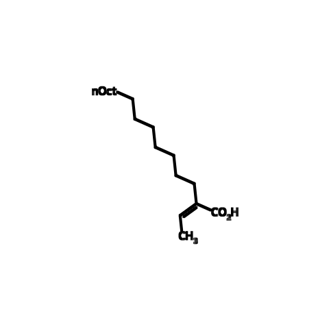 CC=C(CCCCCCCCCCCCCCC)C(=O)O